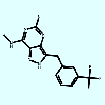 CNc1nc(Cl)nc2c(Cc3cccc(C(F)(F)F)c3)[nH]nc12